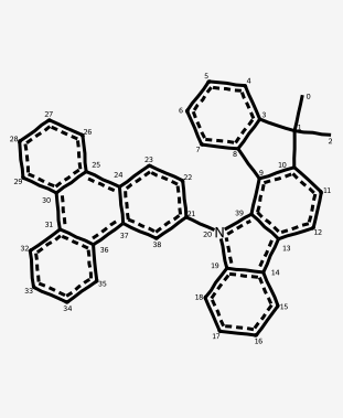 CC1(C)c2ccccc2-c2c1ccc1c3ccccc3n(-c3ccc4c5ccccc5c5ccccc5c4c3)c21